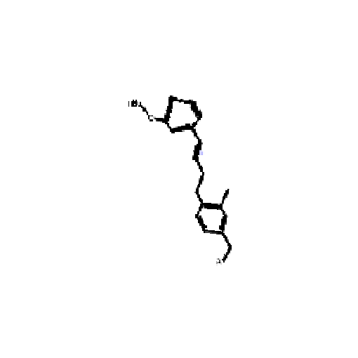 CCCCOc1cccc(/C=C/CCc2ccc(CC(C)C)cc2C)c1